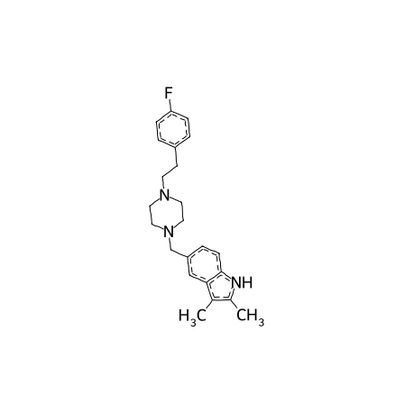 Cc1[nH]c2ccc(CN3CCN(CCc4ccc(F)cc4)CC3)cc2c1C